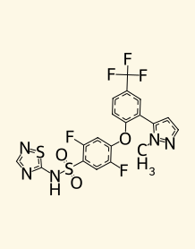 Cn1nccc1-c1cc(C(F)(F)F)ccc1Oc1cc(F)c(S(=O)(=O)Nc2ncns2)cc1F